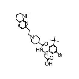 CC(C)(C)c1cc(Br)cc([C@H](CC(=O)O)NC(=O)C2CCN(CCc3ccc4c(n3)NCCC4)CC2)c1